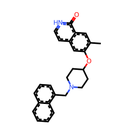 Cc1cc2c(=O)[nH]ccc2cc1OC1CCN(Cc2cccc3ccccc23)CC1